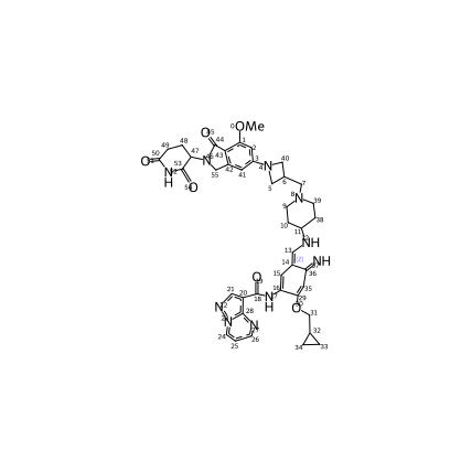 COc1cc(N2CC(CN3CCC(N/C=C4/C=C(NC(=O)c5cnn6cccnc56)C(OCC5CC5)=CC4=N)CC3)C2)cc2c1C(=O)N(C1CCC(=O)NC1=O)C2